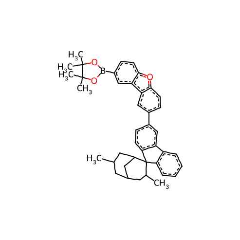 CC1CC2CC(C)C3(c4ccccc4-c4cc(-c5ccc6oc7ccc(B8OC(C)(C)C(C)(C)O8)cc7c6c5)ccc43)C(C1)C2